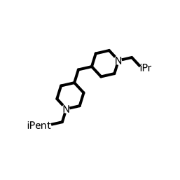 CCCC(C)CN1CCC(CC2CCN(CC(C)C)CC2)CC1